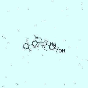 CCN(C[C@@]1(C)CC[C@H](C)c2cc(-c3c(F)cccc3F)nnc21)C(=O)c1ccc(C(C)(C)O)nn1